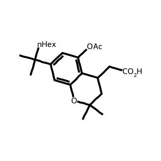 CCCCCCC(C)(C)c1cc(OC(C)=O)c2c(c1)OC(C)(C)CC2CC(=O)O